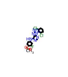 CS(=O)(=O)c1ccc(Nc2ncnc3c2nc(N)n3-c2c(Cl)cccc2Cl)cc1F